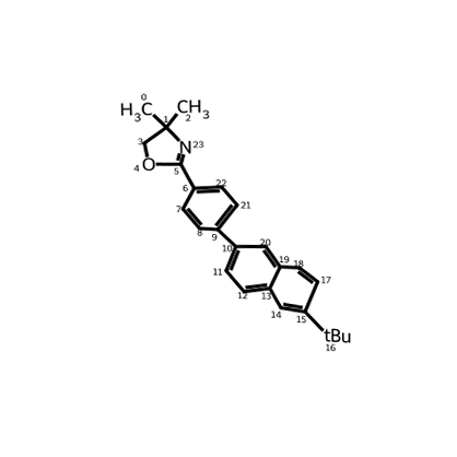 CC1(C)COC(c2ccc(-c3ccc4cc(C(C)(C)C)ccc4c3)cc2)=N1